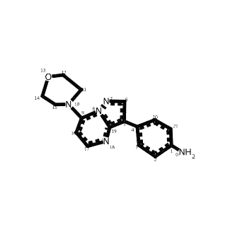 Nc1ccc(-c2cnn3c(N4CCOCC4)ccnc23)cc1